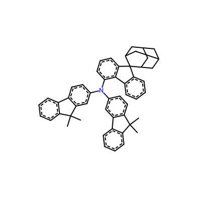 CC1(C)c2ccccc2-c2cc(N(c3ccc4c(c3)C(C)(C)c3ccccc3-4)c3cccc4c3-c3ccccc3C43C4CC5CC(C4)CC3C5)ccc21